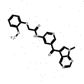 Cn1cc(C(=O)c2cncc(NC(=O)COc3ccccc3OC(F)(F)F)c2)c2cncnc21